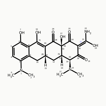 CN(C)c1ccc(O)c2c1C[C@H]1C[C@H]3[C@H](N(C)C)C(=O)/C(=C(/N)O)C(=O)[C@@]3(O)C(=O)C1=C2O